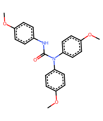 COc1ccc(NC(=O)N(c2ccc(OC)cc2)c2ccc(OC)cc2)cc1